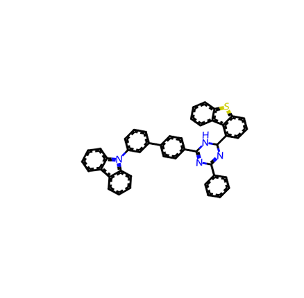 c1ccc(C2=NC(c3cccc4sc5ccccc5c34)NC(c3ccc(-c4cccc(-n5c6ccccc6c6ccccc65)c4)cc3)=N2)cc1